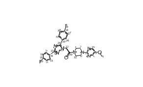 COc1cnc(N2CCN(C(=O)Cn3nc(-c4ccc(F)cc4)nc3-c3ccc(F)cc3)CC2)nc1